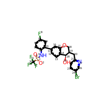 O=S(=O)(Nc1ccc(F)cc1-c1ccc2c(c1)OCC(Cc1ccc(Br)cn1)[C@H]2O)C(F)(F)F